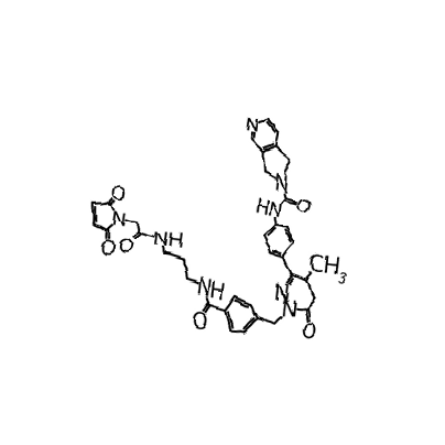 CC1CC(=O)N(Cc2ccc(C(=O)NCCCNC(=O)CN3C(=O)C=CC3=O)cc2)N=C1c1ccc(NC(=O)N2Cc3ccncc3C2)cc1